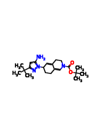 CC(C)(C)OC(=O)N1C=C2CCC(n3nc(C(C)(C)C)cc3N)C=C2CC1